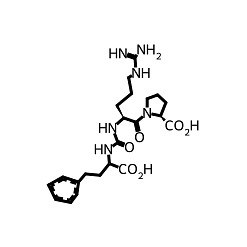 N=C(N)NCCC[C@H](NC(=O)NC(CCc1ccccc1)C(=O)O)C(=O)N1CCC[C@H]1C(=O)O